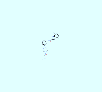 Cc1ccc(F)c2cc(C(=O)Nc3cccc(N4CCN(C(=O)CN(C)C)CC4)c3)[nH]c12